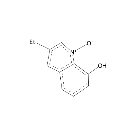 CCc1cc2cccc(O)c2[n+]([O-])c1